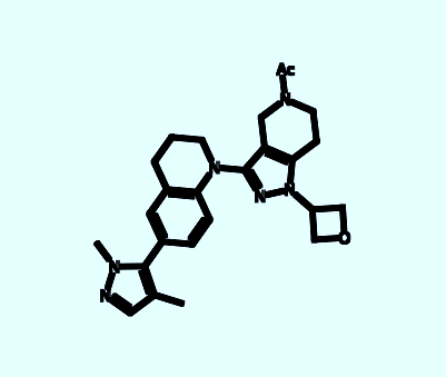 CC(=O)N1CCc2c(c(N3CCCc4cc(-c5c(C)cnn5C)ccc43)nn2C2COC2)C1